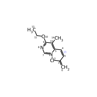 C=C(Cl)/C=C\c1ncnc(OCC)c1C